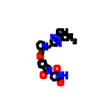 CN(C)c1ncc(CN2CCCC[C@H]2COc2ccc3c(c2)CN(C2CCC(=O)NC2=O)C3=O)cn1